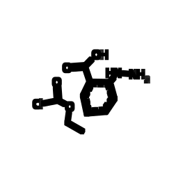 CCOC(=O)Cl.NNc1ccccc1C(=O)O